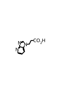 O=C(O)CCn1cnc2ncccc21